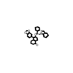 O=C1CCCc2c1ccc(O[C@H](Cn1ncc3ccccc31)c1ccccc1)c2-c1ccc2c(c1)OCO2